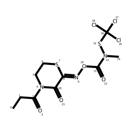 CCC(=O)N1CCSC(=NOC(=O)N(C)SC(Cl)(Cl)Cl)C1=O